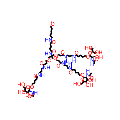 COCCCCCCNC(=O)CCCC(=O)NC(COCCC(=O)NCCCNC(=O)CCCCOC1OC(CO)C(O)C(O)C1NC(C)=O)(COCCC(=O)NCCCNC(=O)CCCCOC1OC(CO)C(O)C(O)C1NC(C)=O)COCCC(=O)NCCCNC(=O)CCCCOC(OC(CO)[C@@H](C)O)[C@H](CO)NC(C)=O